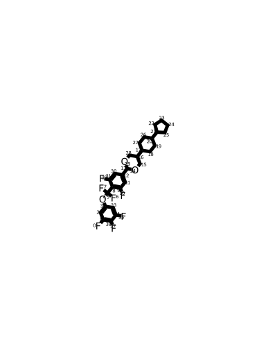 Fc1cc(OC(F)(F)c2c(F)cc(C3OCC(C4CCC(C5CCCC5)CC4)CO3)cc2F)cc(F)c1F